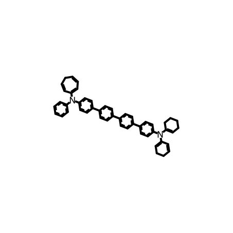 C1=CCC=CC(N(c2ccccc2)c2ccc(-c3ccc(-c4ccc(-c5ccc(N(C6=CCCC=C6)C6=CCCCC6)cc5)cc4)cc3)cc2)=C1